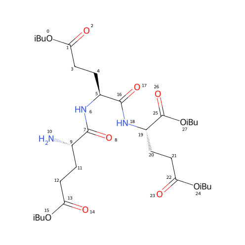 CC(C)COC(=O)CC[C@H](NC(=O)[C@@H](N)CCC(=O)OCC(C)C)C(=O)N[C@@H](CCC(=O)OCC(C)C)C(=O)OCC(C)C